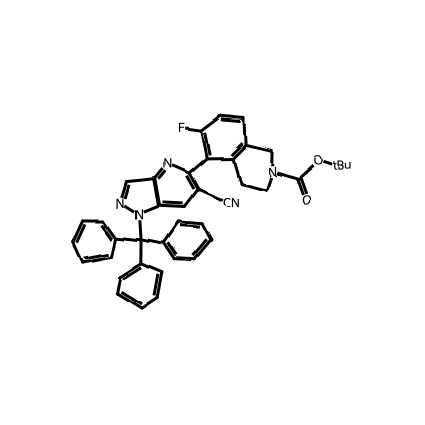 CC(C)(C)OC(=O)N1CCc2c(ccc(F)c2-c2nc3cnn(C(c4ccccc4)(c4ccccc4)c4ccccc4)c3cc2C#N)C1